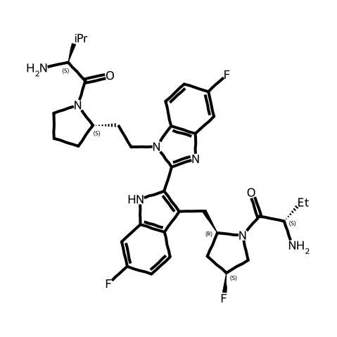 CC[C@H](N)C(=O)N1C[C@@H](F)C[C@H]1Cc1c(-c2nc3cc(F)ccc3n2CC[C@@H]2CCCN2C(=O)[C@@H](N)C(C)C)[nH]c2cc(F)ccc12